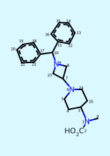 CN(C(=O)O)C1CCN(C2CN(C(c3ccccc3)c3ccccc3)C2)CC1